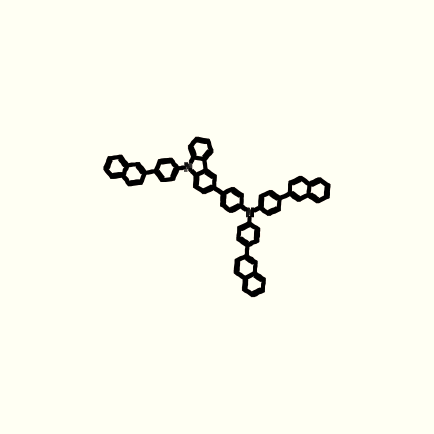 c1ccc2cc(-c3ccc(N(c4ccc(-c5ccc6ccccc6c5)cc4)c4ccc(-c5ccc6c(c5)c5ccccc5n6-c5ccc(-c6ccc7ccccc7c6)cc5)cc4)cc3)ccc2c1